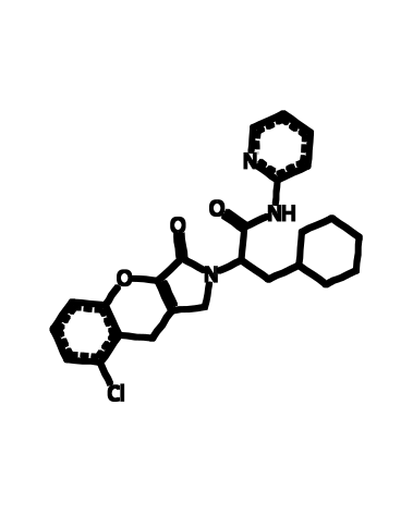 O=C(Nc1ccccn1)C(CC1CCCCC1)N1CC2=C(Oc3cccc(Cl)c3C2)C1=O